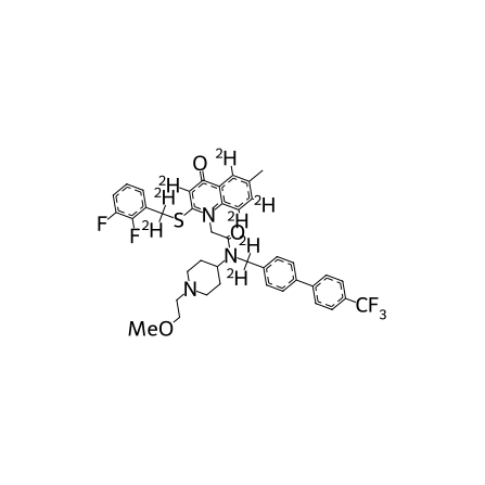 [2H]c1c(C)c([2H])c2c(=O)c([2H])c(SC([2H])([2H])c3cccc(F)c3F)n(CC(=O)N(C3CCN(CCOC)CC3)C([2H])([2H])c3ccc(-c4ccc(C(F)(F)F)cc4)cc3)c2c1[2H]